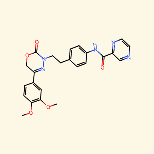 COc1ccc(C2=NN(CCc3ccc(NC(=O)c4cnccn4)cc3)C(=O)OC2)cc1OC